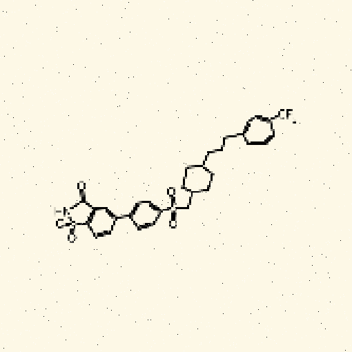 O=C1NS(=O)(=O)c2ccc(-c3ccc(S(=O)(=O)CC4CCC(CCCC5=CC=C(C(F)(F)F)C=C=C5)CC4)cc3)cc21